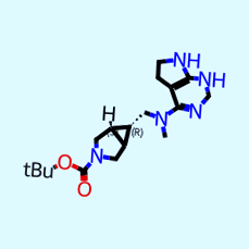 CN(C[C@@H]1C2CN(C(=O)OC(C)(C)C)C[C@H]21)C1=NCNC2=C1CCN2